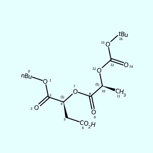 CCCCOC(=O)[C@H](CC(=O)O)OC(=O)[C@H](C)OC(=O)OC(C)(C)C